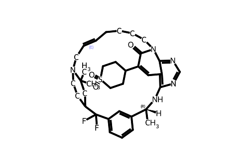 C[C@H]1Nc2ncnc3c2cc(C2CCS(=O)(=O)CC2)c(=O)n3CCCC/C=C/CN2CCC(CC2(C)C)C(F)(F)c2cccc1c2